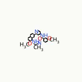 COc1cccc(C(=O)Nc2ccnc(-c3ccc4ccc(OC)c(NCC(C)C#N)c4c3)c2)c1